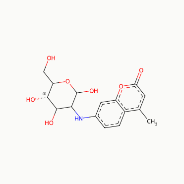 Cc1cc(=O)oc2cc(NC3C(O)OC(CO)[C@@H](O)C3O)ccc12